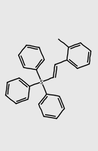 Cc1ccccc1/C=C/S(c1ccccc1)(c1ccccc1)c1ccccc1